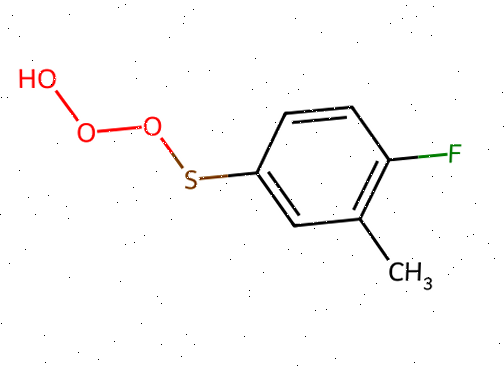 Cc1cc(SOOO)ccc1F